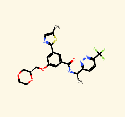 Cc1cnc(-c2cc(OC[C@@H]3COCCO3)cc(C(=O)N[C@H](C)c3ccc(C(F)(F)F)nn3)c2)s1